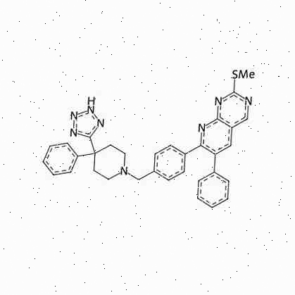 CSc1ncc2cc(-c3ccccc3)c(-c3ccc(CN4CCC(c5ccccc5)(c5nn[nH]n5)CC4)cc3)nc2n1